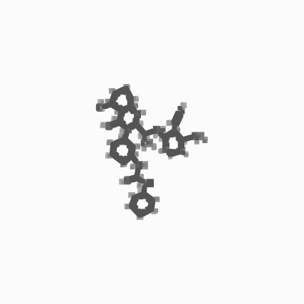 C[C@H](Nc1ncnc(N)c1C#N)c1nc2cccc(Cl)c2c(=O)n1-c1cccc(NC(=O)Nc2ccccc2)c1